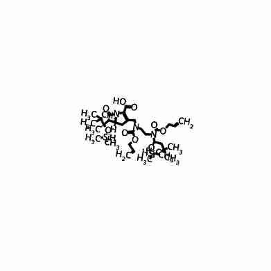 C=CCOC(=O)N(CCN(C(=O)OCC=C)C(CC(C)(C)C)O[SiH](C)C)CC1=C(C(=O)O)N2C(=O)[C@H]([C@@](C)(O[SiH](C)C)C(C)(C)C)[C@H]2C1